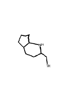 SCC1CCC2CCCC2N1